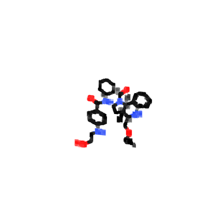 COC[C@@H]1Nc2ccccc2[C@H]2[C@H]1CCN2C(=O)[C@H]1CCCC[C@H]1NC(=O)c1ccc(NCCO)cc1